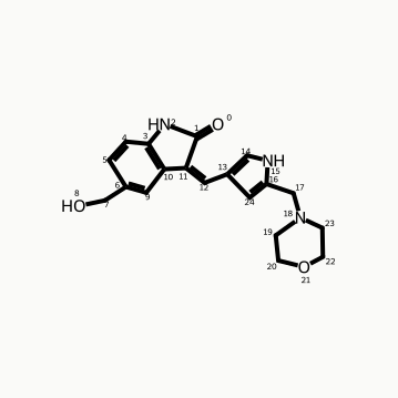 O=C1Nc2ccc(CO)cc2/C1=C/c1c[nH]c(CN2CCOCC2)c1